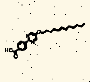 CCCCCCCCCCCCOc1cnc(-c2ccc(C(=O)O)cc2)nc1